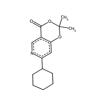 CC1(C)OC(=O)c2cnc(C3CCCCC3)cc2O1